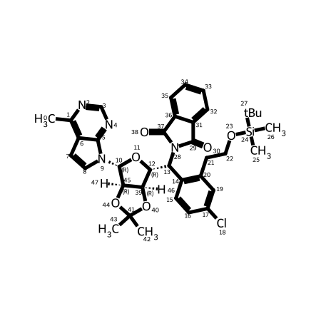 Cc1ncnc2c1ccn2[C@@H]1O[C@H](C(c2ccc(Cl)cc2CCO[Si](C)(C)C(C)(C)C)N2C(=O)c3ccccc3C2=O)[C@H]2OC(C)(C)O[C@H]21